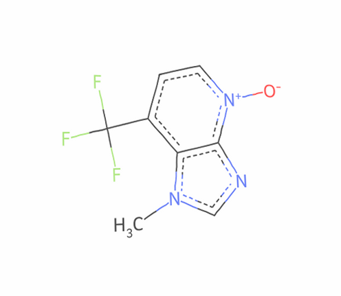 Cn1cnc2c1c(C(F)(F)F)cc[n+]2[O-]